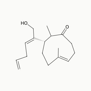 C=CC/C=C(/CO)[C@H]1CC/C(C)=C/CCC(=O)C1C